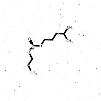 CCCO[PH](=O)OCCCC(C)C